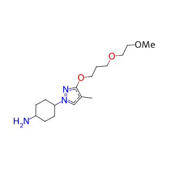 COCCOCCCOc1nn(C2CCC(N)CC2)cc1C